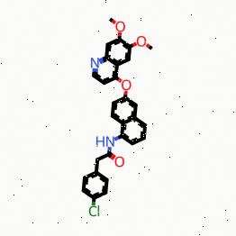 COc1cc2nccc(Oc3ccc4c(NC(=O)Cc5ccc(Cl)cc5)cccc4c3)c2cc1OC